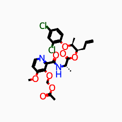 C=CC[C@@H](OC(=O)[C@H](C)NC(=O)c1nccc(OC)c1OCOC(C)=O)[C@H](C)Oc1ccc(Cl)cc1Cl